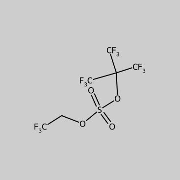 O=S(=O)(OCC(F)(F)F)OC(C(F)(F)F)(C(F)(F)F)C(F)(F)F